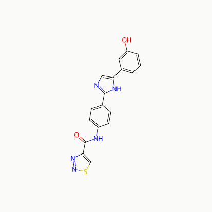 O=C(Nc1ccc(-c2ncc(-c3cccc(O)c3)[nH]2)cc1)c1csnn1